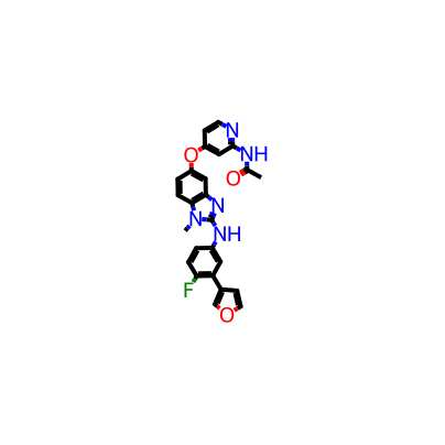 CC(=O)Nc1cc(Oc2ccc3c(c2)nc(Nc2ccc(F)c(-c4ccoc4)c2)n3C)ccn1